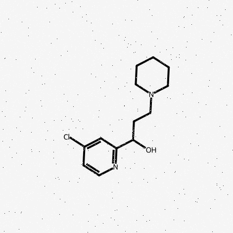 OC(CCN1CCCCC1)c1cc(Cl)ccn1